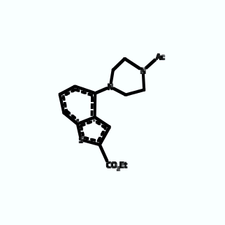 CCOC(=O)c1cc2c(N3CCN(C(C)=O)CC3)cccc2s1